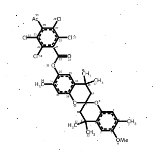 COc1cc2c(cc1C)OC1(CC2(C)C)CC(C)(C)c2cc(OC(=O)c3c(Cl)c(Cl)c(C(C)=O)c(Cl)c3Cl)c(C)cc2O1